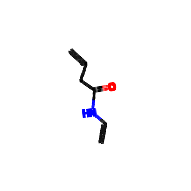 C=CCC(=O)NC=C